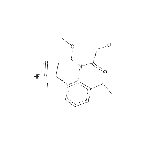 C#CC.CCc1cccc(CC)c1N(COC)C(=O)CCl.F